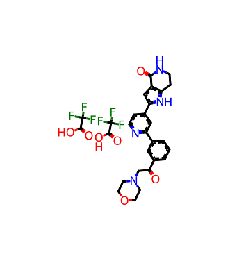 O=C(CN1CCOCC1)c1cccc(-c2cc(-c3cc4c([nH]3)CCNC4=O)ccn2)c1.O=C(O)C(F)(F)F.O=C(O)C(F)(F)F